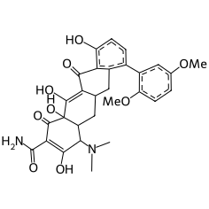 COc1ccc(OC)c(-c2ccc(O)c3c2CC2CC4C(N(C)C)C(O)=C(C(N)=O)C(=O)C4(O)C(O)=C2C3=O)c1